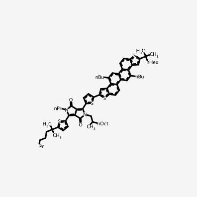 CCCCCCCCC(C)CN1C(=O)C2=C(c3ccc(C(C)(C)CCCC(C)C)s3)N(CCC)C(=O)C2=C1c1ccc(-c2cc3c(ccc4c5cc(CCCC)c6c7cc(C(C)(C)CCCCCC)sc7ccc6c5cc(CCCC)c34)s2)s1